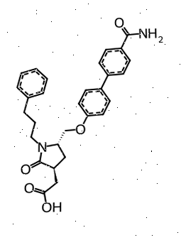 NC(=O)c1ccc(-c2ccc(OC[C@@H]3C[C@@H](CC(=O)O)C(=O)N3CCCc3ccccc3)cc2)cc1